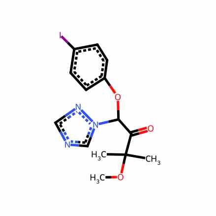 COC(C)(C)C(=O)C(Oc1ccc(I)cc1)n1cncn1